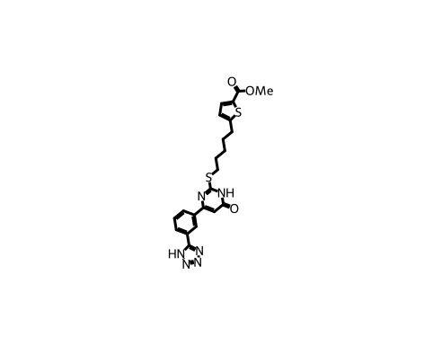 COC(=O)c1ccc(CCCCCSc2nc(-c3cccc(-c4nnn[nH]4)c3)cc(=O)[nH]2)s1